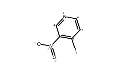 O=[N+]([O-])c1cnccc1I